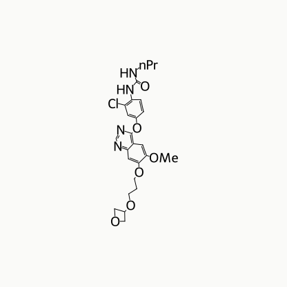 CCCNC(=O)Nc1ccc(Oc2ncnc3cc(OCCCOC4COC4)c(OC)cc23)cc1Cl